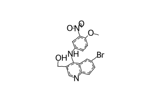 COc1ccc(Nc2c(CO)cnc3ccc(Br)cc23)cc1[N+](=O)[O-]